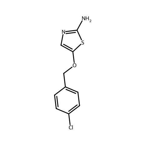 Nc1ncc(OCc2ccc(Cl)cc2)s1